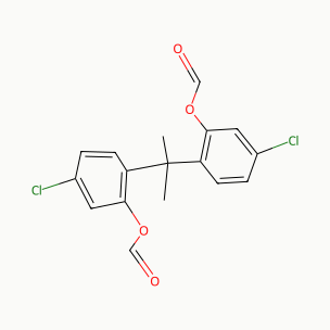 CC(C)(c1ccc(Cl)cc1OC=O)c1ccc(Cl)cc1OC=O